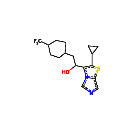 OC(CC1CCC(C(F)(F)F)CC1)c1c(C2CC2)sc2cncn12